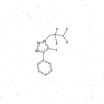 FC(F)C(F)(F)Cn1nnc(-c2ccccc2)c1I